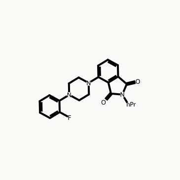 CCCN1C(=O)c2cccc(N3CCN(c4ccccc4F)CC3)c2C1=O